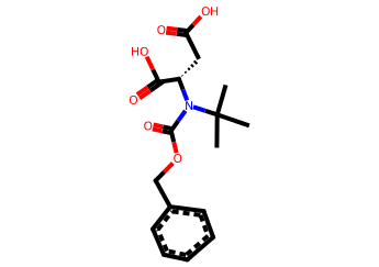 CC(C)(C)N(C(=O)OCc1ccccc1)[C@@H](CC(=O)O)C(=O)O